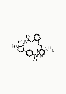 Cc1cnc(Nc2ccc(C3CCNCC3)cc2)nc1CCc1ccccc1CC(N)=O